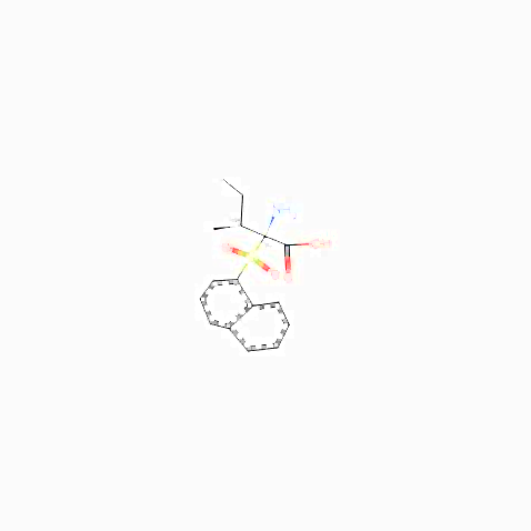 CC[C@H](C)[C@](N)(C(=O)O)S(=O)(=O)c1cccc2ccccc12